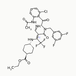 CCOC(=O)[C@H]1CC[C@H](N/C(=C(\C=N)C(=O)N(CC(=O)c2c(Cl)cccc2NC(C)=O)Cc2cc(F)cc(F)c2)C(F)(F)F)CC1